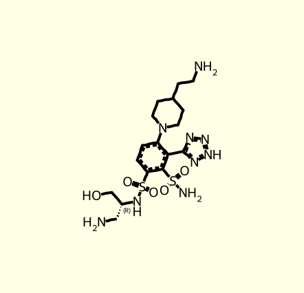 NCCC1CCN(c2ccc(S(=O)(=O)N[C@H](CN)CO)c(S(N)(=O)=O)c2-c2nn[nH]n2)CC1